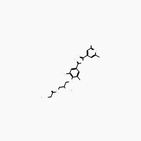 CCc1cc(-c2nnc(-c3cc(C)nc(C(C)C)c3)s2)cc(C)c1OCC(O)CNC(=O)CO